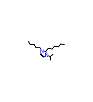 CCCCCCC1N(CCCCC)C=CN1C(C)C